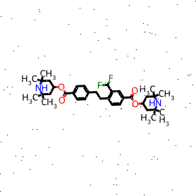 CC1(C)CC(OC(=O)c2ccc(CCc3ccc(C(=O)OC4CC(C)(C)NC(C)(C)C4)cc3C(F)F)cc2)CC(C)(C)N1